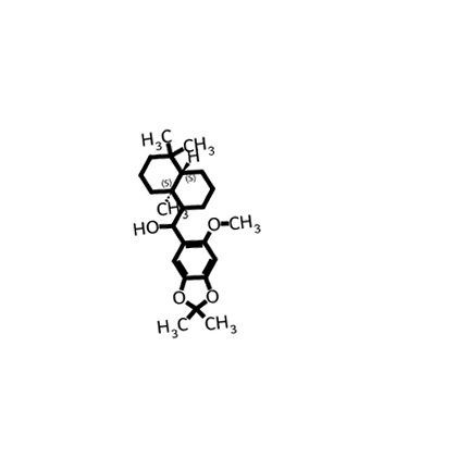 COc1cc2c(cc1C(O)C1CCC[C@H]3C(C)(C)CCC[C@]13C)OC(C)(C)O2